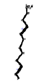 C/C=C/CCCC/C=C/CCC(=O)O